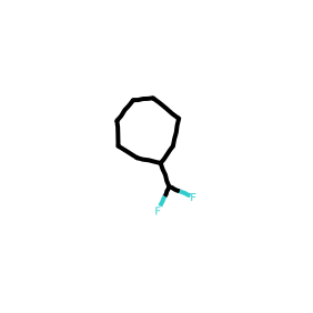 FC(F)C1CCCCCCC1